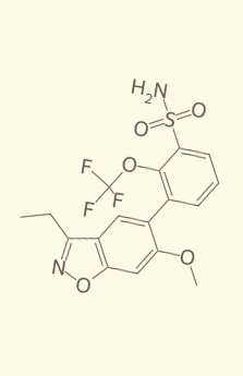 CCc1noc2cc(OC)c(-c3cccc(S(N)(=O)=O)c3OC(F)(F)F)cc12